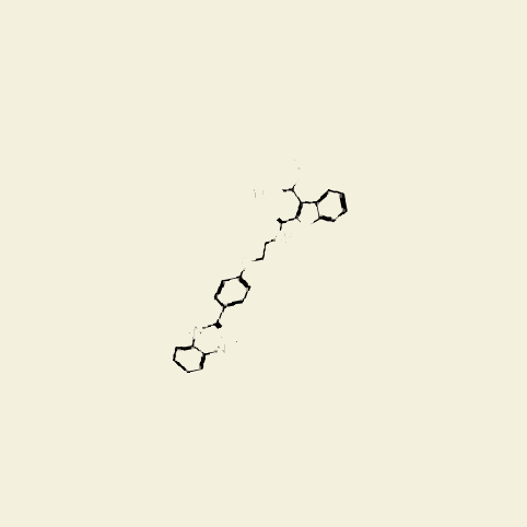 CCCOC(C)c1c(C(=O)NCCOc2ccc(C(=O)Nc3ccccc3N)cc2)oc2ccccc12